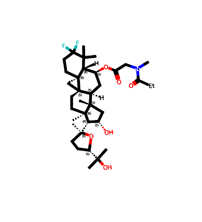 CCC(=O)N(C)CC(=O)O[C@H]1C[C@@H]2[C@]3(CC[C@]4(C)[C@@H]([C@]5(C)CC[C@@H](C(C)(C)O)O5)[C@@H](O)C[C@@]24C)C[C@@]32CCC(F)(F)C(C)(C)[C@H]12